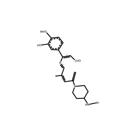 C=C(\C=C(C)/C=N/C(=C\C=O)c1ccc(OC)c(O)c1)N1CCC(NC(C)C)CC1